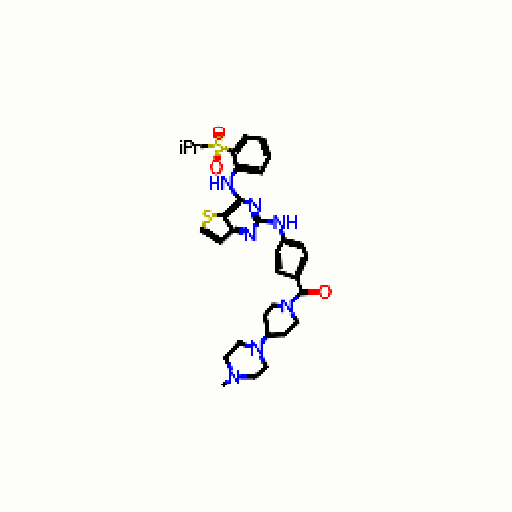 CC(C)S(=O)(=O)c1ccccc1Nc1nc(Nc2ccc(C(=O)N3CCC(N4CCN(C)CC4)CC3)cc2)nc2ccsc12